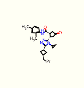 Cc1ccc(NC(=O)[C@H]2CC(=O)C[C@@H]2c2nnc([C@H]3C[C@@H](CC(C)C)C3)n2C2CC2)c(C)c1